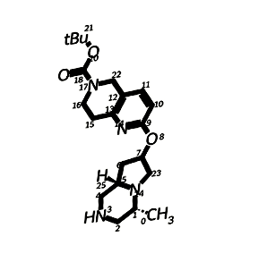 C[C@@H]1CNC[C@@H]2CC(Oc3ccc4c(n3)CCN(C(=O)OC(C)(C)C)C4)CN21